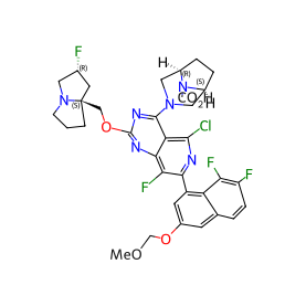 COCOc1cc(-c2nc(Cl)c3c(N4C[C@H]5CC[C@@H](C4)N5C(=O)O)nc(OC[C@@]45CCCN4C[C@H](F)C5)nc3c2F)c2c(F)c(F)ccc2c1